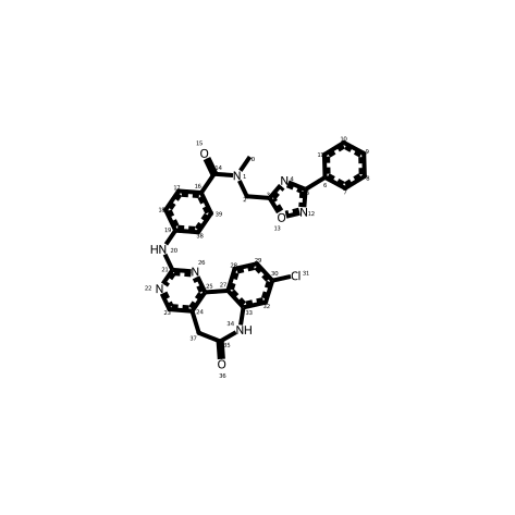 CN(Cc1nc(-c2ccccc2)no1)C(=O)c1ccc(Nc2ncc3c(n2)-c2ccc(Cl)cc2NC(=O)C3)cc1